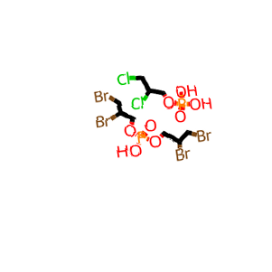 O=P(O)(O)OCC(Cl)CCl.O=P(O)(OCC(Br)CBr)OCC(Br)CBr